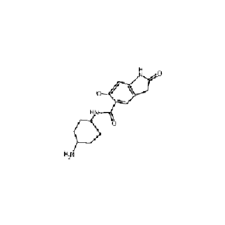 NC1CCC(NC(=O)c2cc3c(cc2Cl)NC(=O)C3)CC1